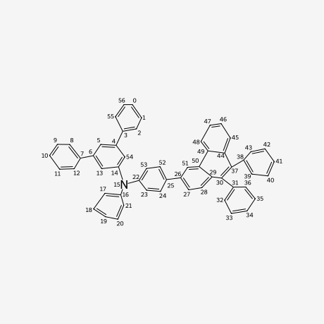 c1ccc(-c2cc(-c3ccccc3)cc(N(c3ccccc3)c3ccc(-c4ccc5c(-c6ccccc6)c(-c6ccccc6)c6ccccc6c5c4)cc3)c2)cc1